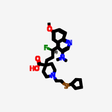 COc1ccc2ncc(N(C)C)c([C@H](F)CCC3(C(=O)O)CCN(CCSC4CCCC4)CC3)c2c1